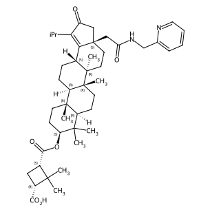 CC(C)C1=C2[C@H]3CC[C@@H]4[C@@]5(C)CC[C@H](OC(=O)[C@H]6C[C@@H](C(=O)O)C6(C)C)C(C)(C)[C@@H]5CC[C@@]4(C)[C@]3(C)CC[C@@]2(CC(=O)NCc2ccccn2)CC1=O